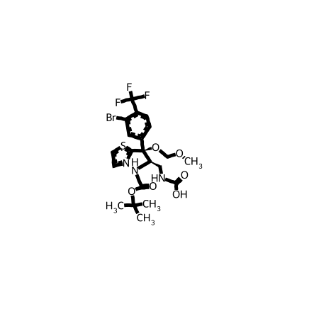 COCO[C@](c1ccc(C(F)(F)F)c(Br)c1)(c1nccs1)[C@@H](CNC(=O)O)NC(=O)OC(C)(C)C